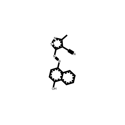 Cc1nsc(N=Nc2ccc(O)c3ccccc23)c1C#N